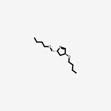 CCCCOC[C@H]1C[C@H](OCCCC)C=N1